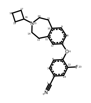 N#Cc1ccc(Oc2ccc3c(c2)CCN(C2CCC2)CC3)c(F)c1